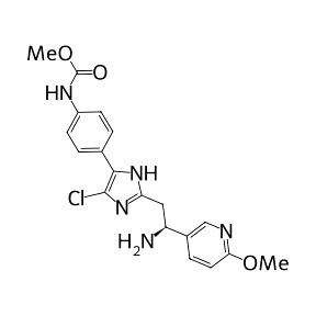 COC(=O)Nc1ccc(-c2[nH]c(C[C@H](N)c3ccc(OC)nc3)nc2Cl)cc1